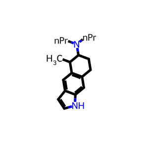 CCCN(CCC)C1CCc2cc3[nH]ccc3cc2C1C